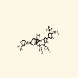 CC(C)n1nc(-c2cnc(N)c(C(F)(F)F)c2)cc1[C@H]1[C@@H]2C[C@H](N3CCO[C@@H](C)C3)C[C@@H]21